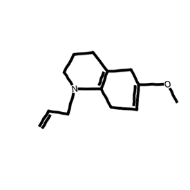 C=CCN1CCCC2=C1CC=C(OC)C2